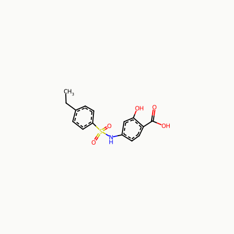 CCc1ccc(S(=O)(=O)Nc2ccc(C(=O)O)c(O)c2)cc1